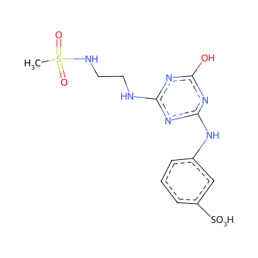 CS(=O)(=O)NCCNc1nc(O)nc(Nc2cccc(S(=O)(=O)O)c2)n1